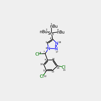 CCC[CH2][Sn]([CH2]CCC)([CH2]CCC)[c]1cn(C(Cl)c2cc(Cl)cc(Cl)c2)nn1